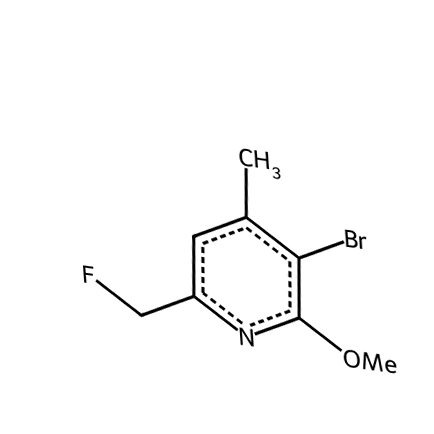 COc1nc(CF)cc(C)c1Br